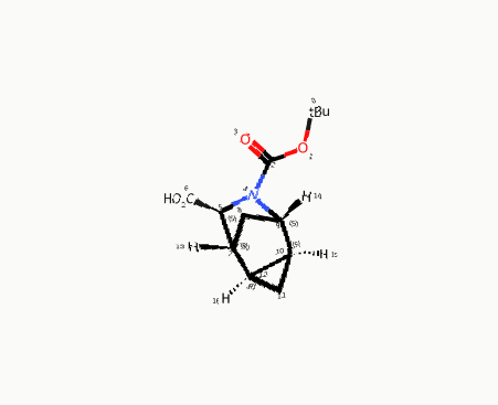 CC(C)(C)OC(=O)N1[C@H](C(=O)O)[C@@H]2C[C@H]1[C@H]1C[C@@H]21